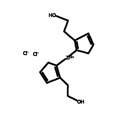 OCCC1=[C]([Zr+2][C]2=C(CCO)C=CC2)CC=C1.[Cl-].[Cl-]